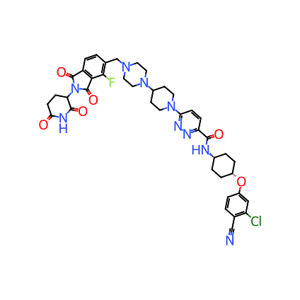 N#Cc1ccc(O[C@H]2CC[C@H](NC(=O)c3ccc(N4CCC(N5CCN(Cc6ccc7c(c6F)C(=O)N(C6CCC(=O)NC6=O)C7=O)CC5)CC4)nn3)CC2)cc1Cl